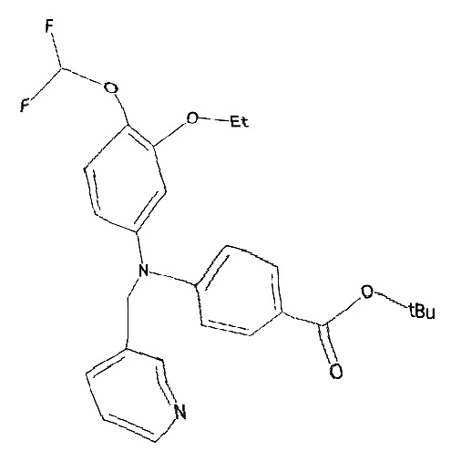 CCOc1cc(N(Cc2cccnc2)c2ccc(C(=O)OC(C)(C)C)cc2)ccc1OC(F)F